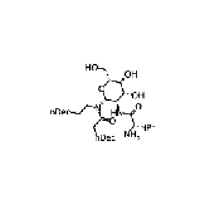 CCCCCCCCCCCCN(C(=O)CCCCCCCCCCC)[C@@H]1O[C@H](CO)[C@@H](O)[C@H](O)[C@H]1NC(=O)[C@@H](N)C(C)C